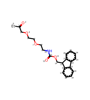 CCC(=O)COCCOCCNC(=O)OCC1c2ccccc2-c2ccccc21